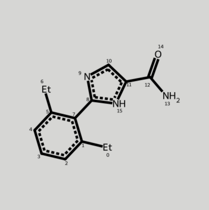 CCc1cccc(CC)c1-c1ncc(C(N)=O)[nH]1